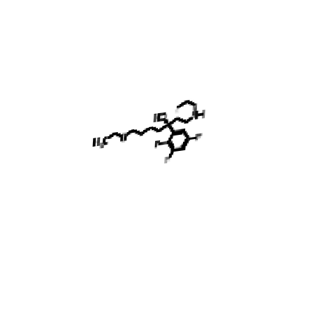 CCOCCCC[C@@](O)(c1cc(F)cc(F)c1F)[C@@H]1CCCNC1